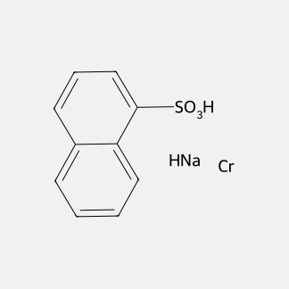 O=S(=O)(O)c1cccc2ccccc12.[Cr].[NaH]